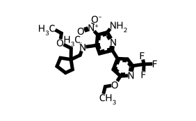 CCOCC1(CN(C)c2cc(-c3cc(OCC)nc(C(F)(F)F)c3)nc(N)c2[N+](=O)[O-])CCCC1